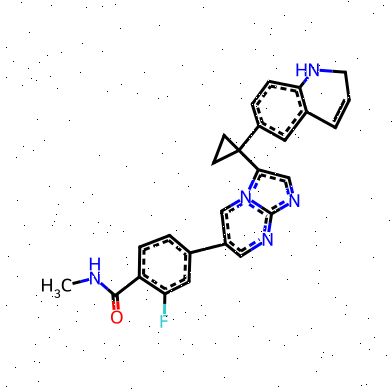 CNC(=O)c1ccc(-c2cnc3ncc(C4(c5ccc6c(c5)C=CCN6)CC4)n3c2)cc1F